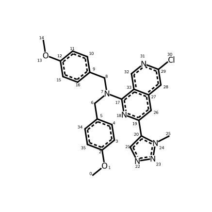 COc1ccc(CN(Cc2ccc(OC)cc2)c2nc(-c3cnnn3C)cc3cc(Cl)ncc23)cc1